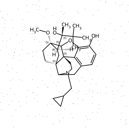 CO[C@@]12CC[C@@]3(C[C@@H]1[C@](C)(O)C(C)(C)C)C1Cc4ccc(O)c5c4[C@@]3(CCN1CC1CC1)[C@@H]2O5